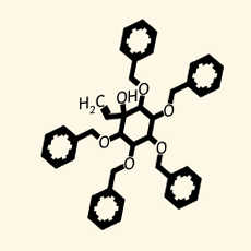 C=CC1(O)C(OCc2ccccc2)C(OCc2ccccc2)C(OCc2ccccc2)C(OCc2ccccc2)C1OCc1ccccc1